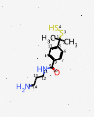 CC(C)(SS)c1ccc(C(=O)NCCCN)cc1